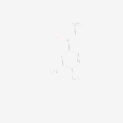 CNCC(=O)c1ccc(N=O)c(N=O)c1